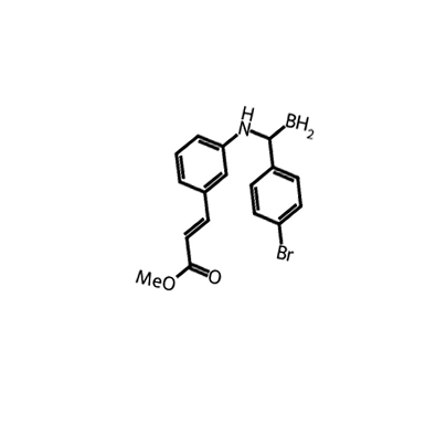 BC(Nc1cccc(/C=C/C(=O)OC)c1)c1ccc(Br)cc1